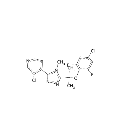 Cn1c(-c2ccncc2Cl)nnc1C(C)(C)Oc1c(F)cc(Cl)cc1F